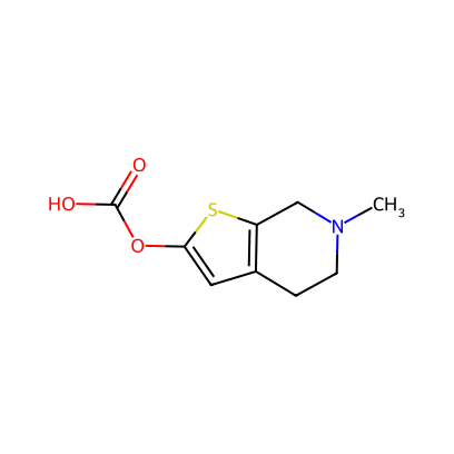 CN1CCc2cc(OC(=O)O)sc2C1